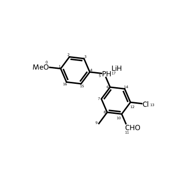 COc1ccc(Pc2cc(C)c(C=O)c(Cl)c2)cc1.[LiH]